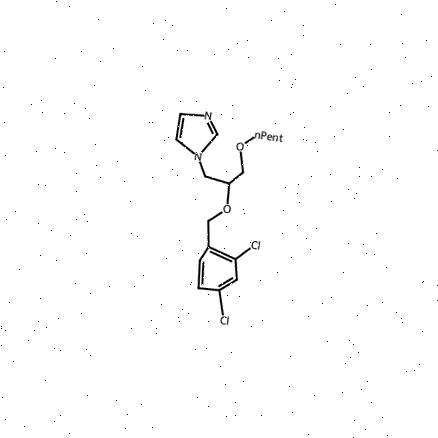 CCCCCOCC(Cn1ccnc1)OCc1ccc(Cl)cc1Cl